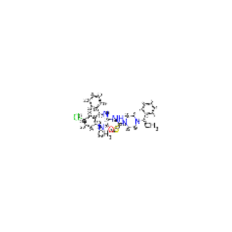 CC(c1ccccc1)N1CCN(C(=S)NC2N=C(c3ccccc3)c3cc(Cl)ccc3N(C)C2=O)CC1